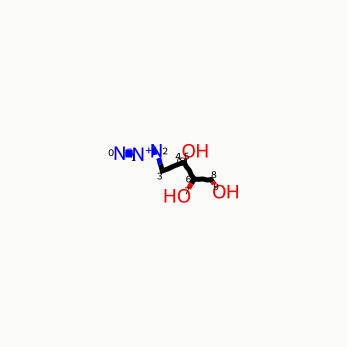 [N-]=[N+]=NC[C@H](O)C(O)CO